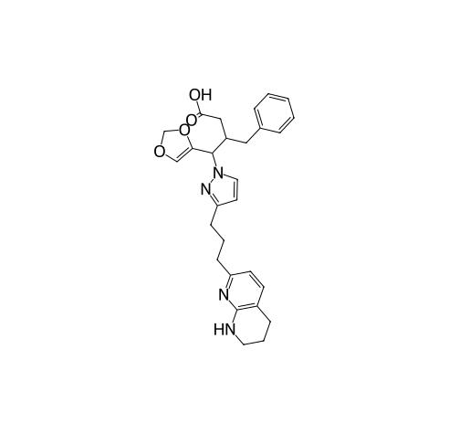 O=C(O)CC(Cc1ccccc1)C(C1=COCO1)n1ccc(CCCc2ccc3c(n2)NCCC3)n1